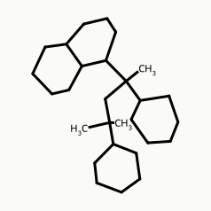 CC(C)(CC(C)(C1CCCCC1)C1CCCC2CCCCC21)C1CCCCC1